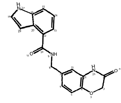 O=C1COc2ccc(CNC(=O)c3cccc4[nH]ccc34)cc2N1